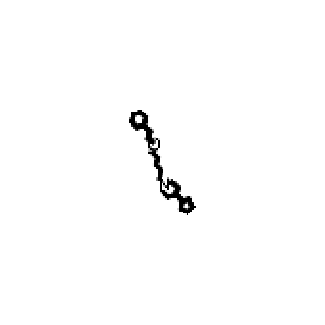 C1CCC(CCOCCCCCN2CCC(C3CCCC3)CC2)CC1